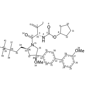 C=C(C)[C@H](NC(=O)OC1CCCC1)C(=O)N1C[C@](OC)(c2ccc(-c3cccc(OC)c3)cc2)C[C@H]1CCC(C)(C)[Si](C)(C)O